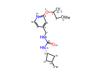 COCC(Oc1cc(CNC(=O)N[C@H]2C[C@H](C(F)(F)F)C2)ccn1)C(F)(F)F